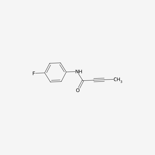 CC#CC(=O)Nc1ccc(F)cc1